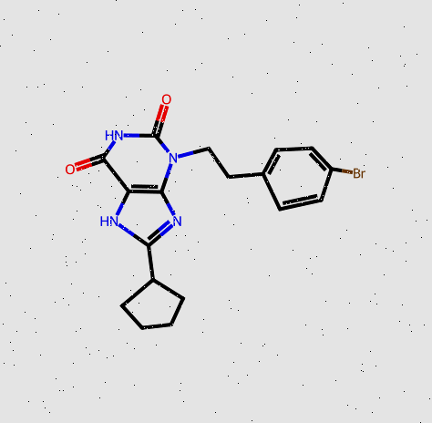 O=c1[nH]c(=O)n(CCc2ccc(Br)cc2)c2nc(C3CCCC3)[nH]c12